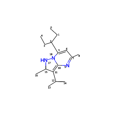 CCC(CC)C1=CC(C)=NC2=C(C(C)C)C(C)NN12